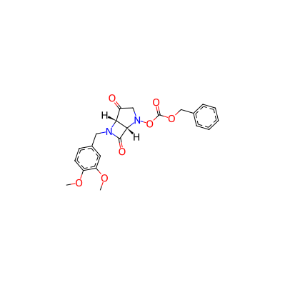 COc1ccc(CN2C(=O)[C@@H]3[C@H]2C(=O)CN3OC(=O)OCc2ccccc2)cc1OC